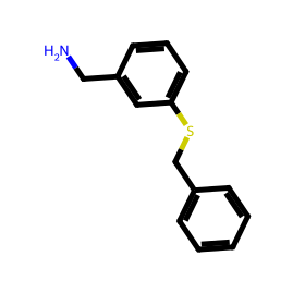 NCc1cccc(SCc2ccccc2)c1